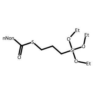 CCCCCCCCCC(=O)SCCC[Si](OCC)(OCC)OCC